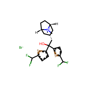 C[N+]1(C)[C@@H]2CC[C@H]1C[C@@H](CC(O)(c1ccc(C(F)F)s1)c1ccc(C(F)F)s1)C2.[Br-]